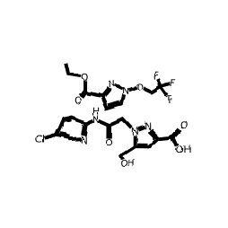 CCOC(=O)c1ccn(OCC(F)(F)F)n1.O=C(Cn1nc(C(=O)O)cc1CO)Nc1ccc(Cl)cn1